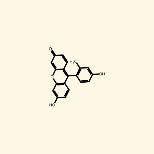 Cc1cc(O)ccc1-c1c2ccc(=O)cc-2oc2cc(O)ccc12